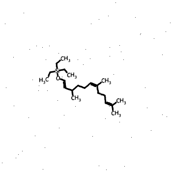 CC[Si](CC)(CC)OC=CC(C)CCC=C(C)CCC=C(C)C